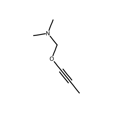 CC#COCN(C)C